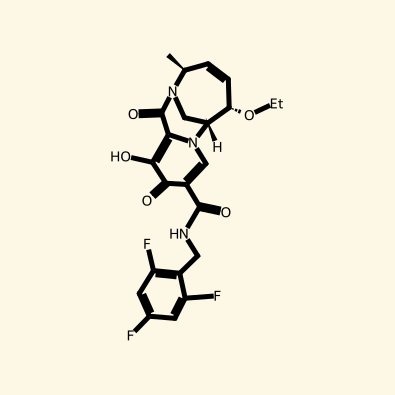 CCO[C@H]1C=C[C@H](C)N2C[C@H]1n1cc(C(=O)NCc3c(F)cc(F)cc3F)c(=O)c(O)c1C2=O